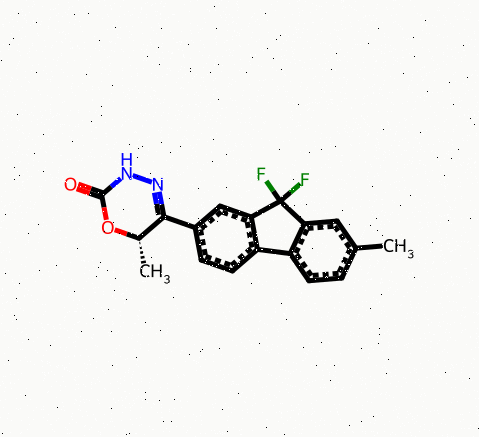 Cc1ccc2c(c1)C(F)(F)c1cc(C3=NNC(=O)O[C@H]3C)ccc1-2